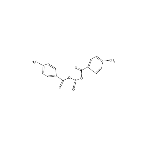 Cc1ccc(C(=O)O[P](=O)OC(=O)c2ccc(C)cc2)cc1